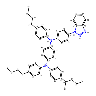 CCCCc1ccc(N(c2ccc(C(C)CCC)cc2)c2ccc(N(c3ccc(CCCC)cc3)c3ccc(-n4nnc5ccccc54)cc3)cc2)cc1